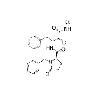 CCNC(=O)C(=O)C(Cc1ccccc1)NC(=O)[C@H]1CCC(=O)N1Cc1ccccc1